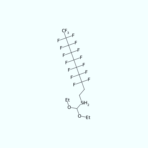 CCOC(OCC)[SiH2]CCC(F)(F)C(F)(F)C(F)(F)C(F)(F)C(F)(F)C(F)(F)C(F)(F)C(F)(F)F